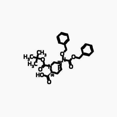 CC(C)(C)OC(=O)N1C[Si@@H](N(OCc2ccccc2)C(=O)OCc2ccccc2)CC[C@@H]1C(=O)O